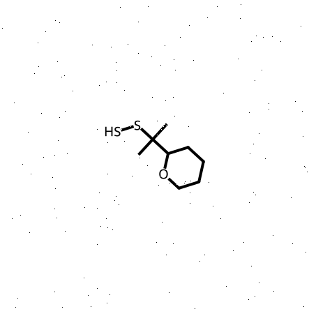 CC(C)(SS)C1CCCCO1